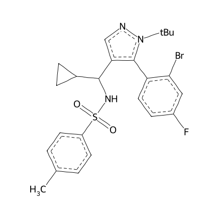 Cc1ccc(S(=O)(=O)NC(c2cnn(C(C)(C)C)c2-c2ccc(F)cc2Br)C2CC2)cc1